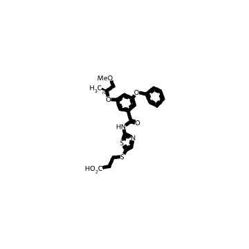 COC[C@H](C)Oc1cc(Oc2ccccc2)cc(C(=O)Nc2ncc(SCCC(=O)O)s2)c1